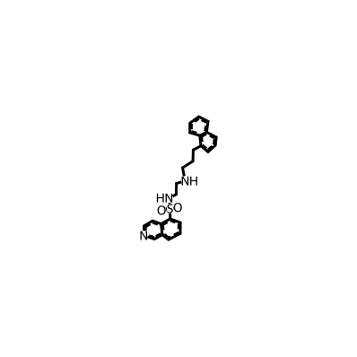 O=S(=O)(NCCNCCCc1cccc2ccccc12)c1cccc2cnccc12